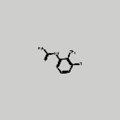 Cc1c(Cl)cccc1NC(N)=O